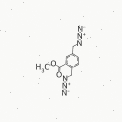 COC(=O)c1cc(CN=[N+]=[N-])ccc1CN=[N+]=[N-]